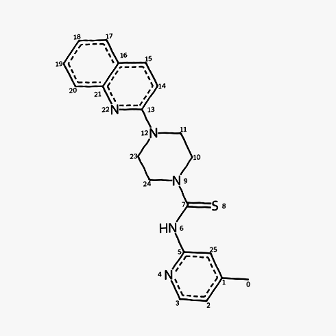 Cc1ccnc(NC(=S)N2CCN(c3ccc4ccccc4n3)CC2)c1